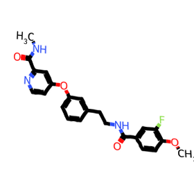 CNC(=O)c1cc(Oc2cccc(CCNC(=O)c3ccc(OC)c(F)c3)c2)ccn1